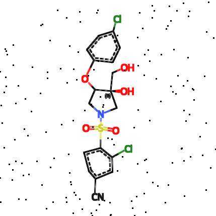 N#Cc1ccc(S(=O)(=O)N2CC(Oc3ccc(Cl)cc3)[C@](O)(CO)C2)c(Cl)c1